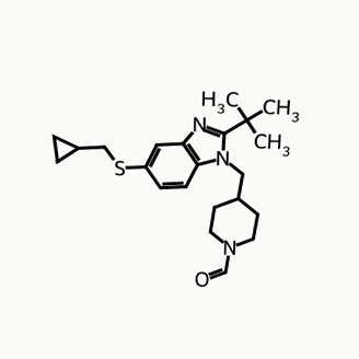 CC(C)(C)c1nc2cc(SCC3CC3)ccc2n1CC1CCN(C=O)CC1